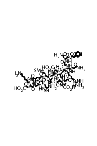 CSCC[C@H](NC(=O)[C@H](CCC(N)=O)NC(=O)[C@H](Cc1cnc[nH]1)NC(=O)CNC(=O)[C@H](CCC(=O)O)NC(=O)[C@@H](N)CCCCN)C(=O)N[C@@H](CCCCN)C(=O)N[C@@H](CC(=O)O)C(=O)N[C@@H](CS)C(=O)N[C@H](C(=O)N[C@@H](CCC(=O)O)C(=O)N[C@@H](CCCNC(=N)N)C(=O)N[C@@H](CCC(N)=O)C(=O)N[C@@H](C)C(=O)N[C@@H](CC(N)=O)C(=O)N[C@@H](Cc1ccccc1)C(=O)O)[C@@H](C)O